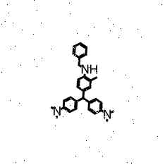 Cc1cc(C(c2ccc(N(C)C)cc2)c2ccc(N(C)C)cc2)ccc1NCc1ccccc1